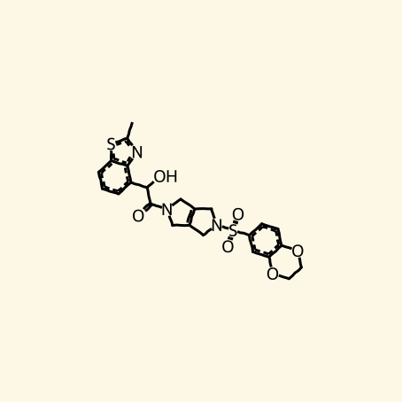 Cc1nc2c(C(O)C(=O)N3CC4=C(C3)CN(S(=O)(=O)c3ccc5c(c3)OCCO5)C4)cccc2s1